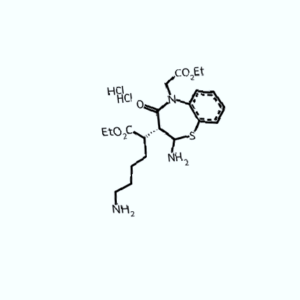 CCOC(=O)CN1C(=O)[C@@H](C(CCCCN)C(=O)OCC)C(N)Sc2ccccc21.Cl.Cl